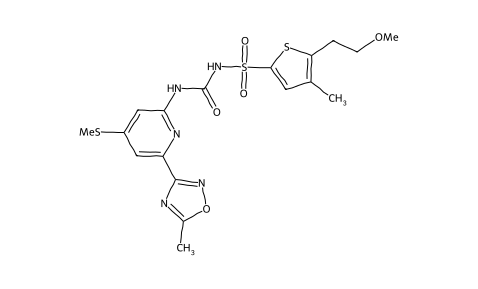 COCCc1sc(S(=O)(=O)NC(=O)Nc2cc(SC)cc(-c3noc(C)n3)n2)cc1C